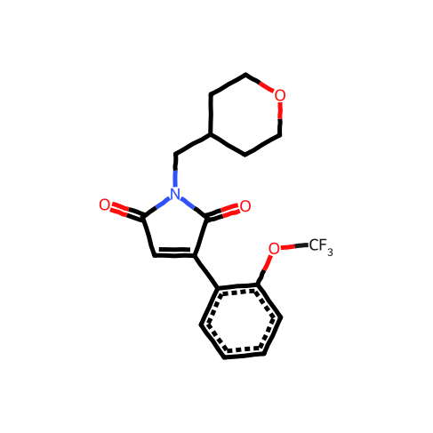 O=C1C=C(c2ccccc2OC(F)(F)F)C(=O)N1CC1CCOCC1